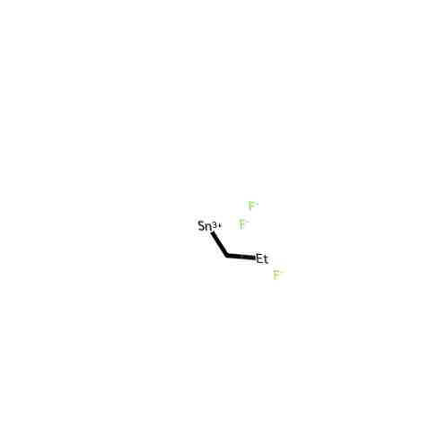 CC[CH2][Sn+3].[F-].[F-].[F-]